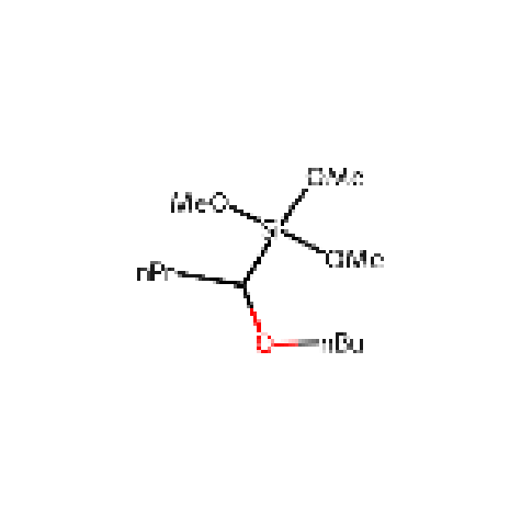 CCCCOC(CCC)[Si](OC)(OC)OC